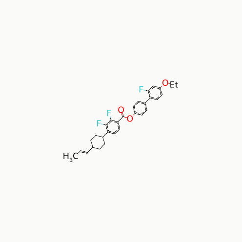 C/C=C/C1CCC(c2ccc(C(=O)Oc3ccc(-c4ccc(OCC)cc4F)cc3)c(F)c2F)CC1